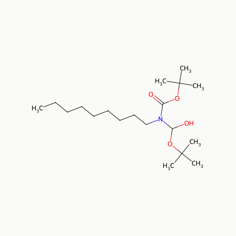 CCCCCCCCCN(C(=O)OC(C)(C)C)C(O)OC(C)(C)C